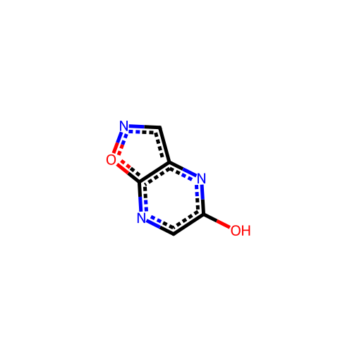 Oc1cnc2oncc2n1